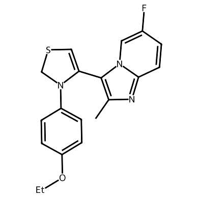 CCOc1ccc(N2CSC=C2c2c(C)nc3ccc(F)cn23)cc1